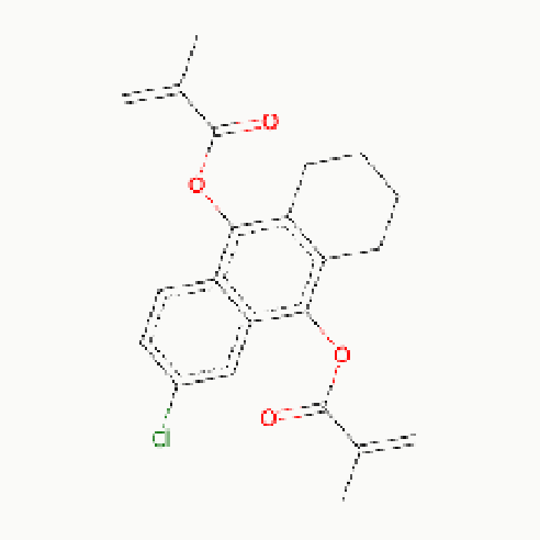 C=C(C)C(=O)Oc1c2c(c(OC(=O)C(=C)C)c3cc(Cl)ccc13)CCCC2